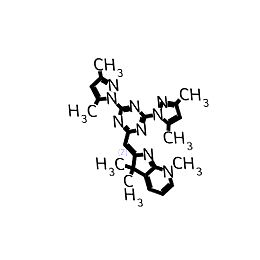 Cc1cc(C)n(-c2nc(/C=C3\N=C4C(=CC=CN4C)C3(C)C)nc(-n3nc(C)cc3C)n2)n1